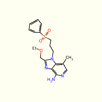 CCOCc1nc2c(N)ncc(C)c2n1CCCS(=O)(=O)c1ccccc1